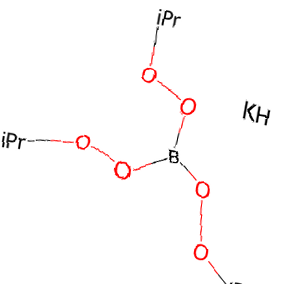 CC(C)OOB(OOC(C)C)OOC(C)C.[KH]